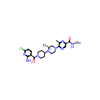 CC[C@H]1CN(c2ncc(C(=O)NC(C)(C)C)nc2C)CCN1C1CCN(C(=O)c2ccc(Cl)nc2N)CC1